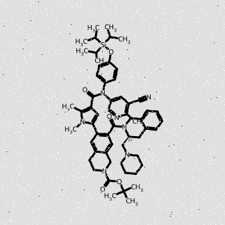 Cc1ncc(N(C(=O)c2cc(-c3cc4c(cc3C(=O)N3Cc5ccccc5C[C@H]3CN3CCCCC3)CN(C(=O)OC(C)(C)C)CC4)n(C)c2C)c2ccc(O[Si](C(C)C)(C(C)C)C(C)C)cc2)cc1C#N